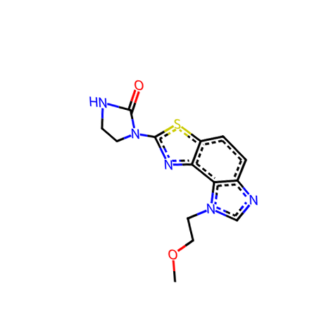 COCCn1cnc2ccc3sc(N4CCNC4=O)nc3c21